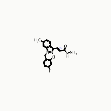 Cc1ccc2c(/C=C/C(=O)NN)nn(Cc3ccc(F)cc3Cl)c2c1